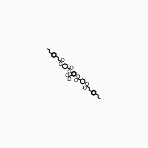 CCCc1ccc(CCC(=O)OC2CCC(C(=O)Oc3ccc(OC(=O)C4CCC(OC(=O)CCc5ccc(CCC)cc5)CC4)c(C(=O)OC)c3)CC2)cc1